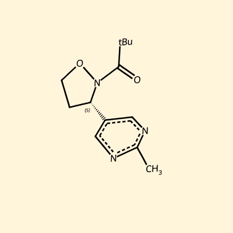 Cc1ncc([C@@H]2CCON2C(=O)C(C)(C)C)cn1